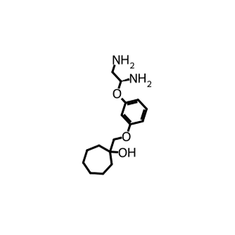 NC[C@@H](N)Oc1cccc(OCC2(O)CCCCCC2)c1